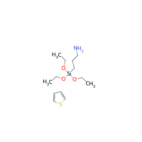 CCO[Si](CCCN)(OCC)OCC.c1ccsc1